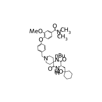 CCCCN1C(=O)[C@@H](CC2(O)CCCCC2)NC(=O)C12CCN(Cc1ccc(Oc3ccc(C(=O)N(C)C)cc3OC)cc1)CC2